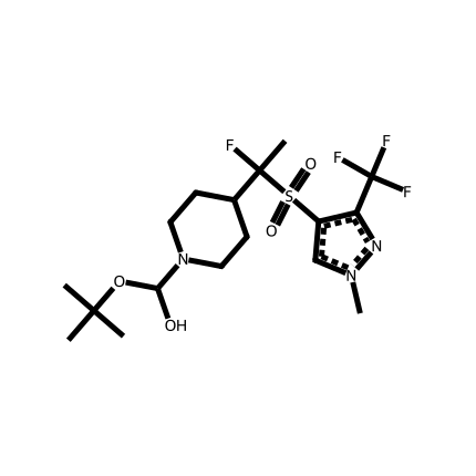 Cn1cc(S(=O)(=O)C(C)(F)C2CCN(C(O)OC(C)(C)C)CC2)c(C(F)(F)F)n1